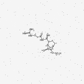 N=C(N)NOCC(=O)NC(=N)C1CCC2CN1C(=O)N2OS(=O)(=O)O